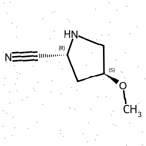 CO[C@@H]1CN[C@@H](C#N)C1